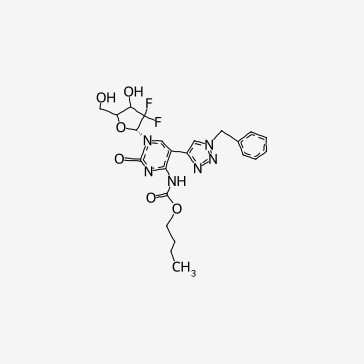 CCCCOC(=O)Nc1nc(=O)n([C@@H]2OC(CO)C(O)C2(F)F)cc1-c1cn(Cc2ccccc2)nn1